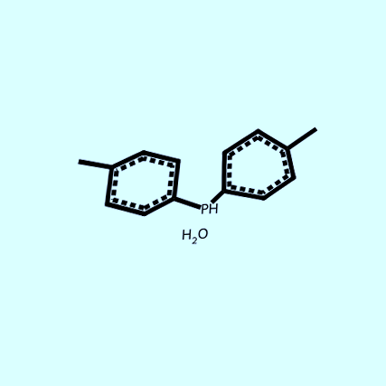 Cc1ccc(Pc2ccc(C)cc2)cc1.O